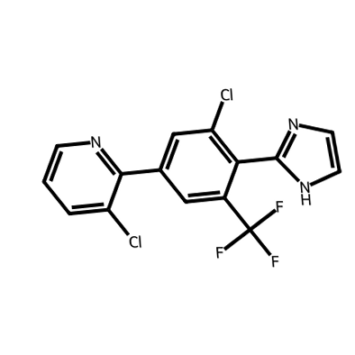 FC(F)(F)c1cc(-c2ncccc2Cl)cc(Cl)c1-c1ncc[nH]1